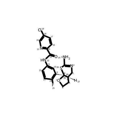 NC1=NC[C@H]2CCO[C@@]2(c2cc(NC(=O)c3ccc(Cl)cn3)ccc2F)S1